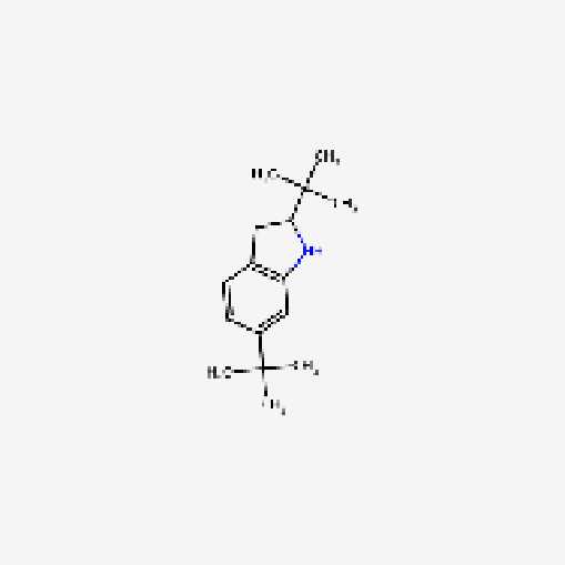 CC(C)(C)c1ccc2c(c1)NC(C(C)(C)C)C2